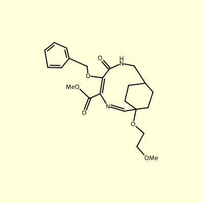 COCCOC12C=NC(C(=O)OC)=C(OCc3ccccc3)C(=O)NCC(CC1)CC2